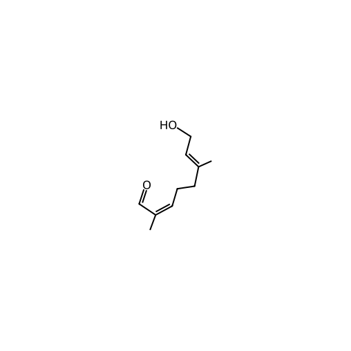 CC(C=O)=CCCC(C)=CCO